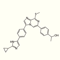 CSc1nc(-c2ccc(C(C)O)cc2)cn2c(-c3ccc(-c4cnc(C5CC5)[nH]4)cc3)cnc12